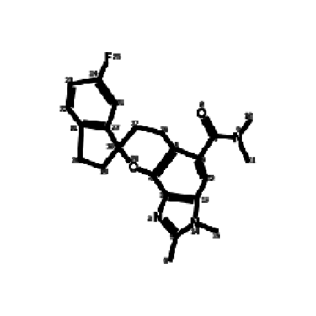 Cc1nc2c3c(c(C(=O)N(C)C)cc2n1C)CCC1(CCc2ccc(F)cc21)O3